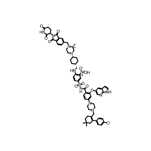 C[C@H]1CN([C@H]2CC[C@@H](CNc3ccc(S(=O)(=O)NC(=O)c4ccc(N5CCN(CC6=C(c7ccc(Cl)cc7)CC(C)(C)CC6)CC5)cc4Oc4cnc5[nH]ccc5c4)cc3[NH+]([O-])O)CC2)CCN1Cc1ccc2c(c1)C(=O)N(C1CCC(=O)NC1=O)C2=O